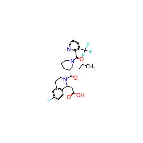 CCC[C@@H]1[C@H](C(=O)N2CCc3cc(F)ccc3C2CC(=O)O)CCCN1C(=O)c1ncccc1C(F)(F)F